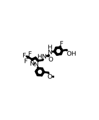 COCc1cccc(-n2nc(C(F)(F)F)cc2CNC(=O)Nc2ccc(CO)c(F)c2)c1